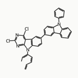 C=C/C=C\C(=C/C)n1c2ccc(-c3ccc4c(c3)c3ccccc3n4-c3ccccc3)cc2c2c(Cl)nc(Cl)nc21